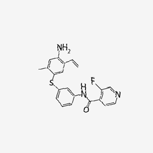 C=Cc1cc(Sc2cccc(NC(=O)c3ccncc3F)c2)c(C)cc1N